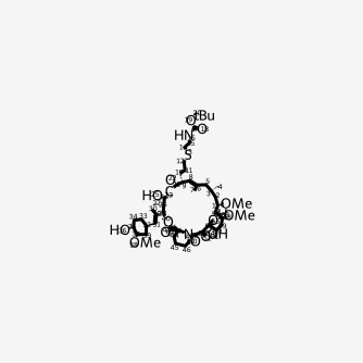 CO[C@H]1C[C@@H](C)C/C(C)=C/[C@@H](CCCSCCNC(=O)OC(C)(C)C)C(=O)C[C@H](O)[C@@H](C)[C@@H](/C(C)=C/[C@@H]2CC[C@@H](O)[C@H](OC)C2)OC(=O)[C@@H]2CCCCN2C(=O)C(=O)[C@]2(O)O[C@H]1[C@@H](OC)C[C@H]2C